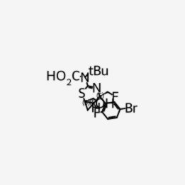 CC(C)(C)N(C(=O)O)C1=N[C@](CF)(c2cc(Br)ccc2F)[C@@H]2C[C@]2(CO)S1